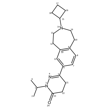 CC(C)N1N=C(c2ccc3c(c2)CCN(C2CCC2)CC3)CCC1=O